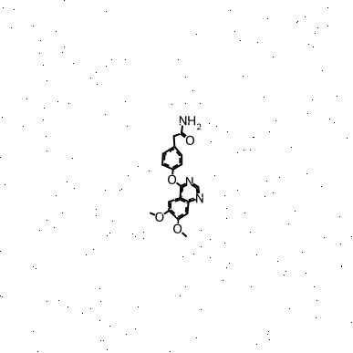 COc1cc2ncnc(Oc3ccc(CC(N)=O)cc3)c2cc1OC